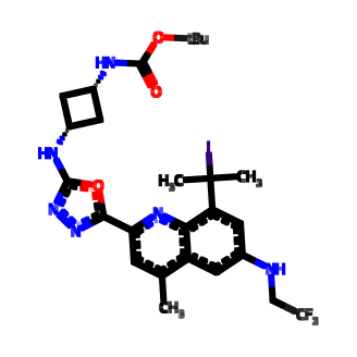 Cc1cc(-c2nnc(N[C@H]3C[C@@H](NC(=O)OC(C)(C)C)C3)o2)nc2c(C(C)(C)I)cc(NCC(F)(F)F)cc12